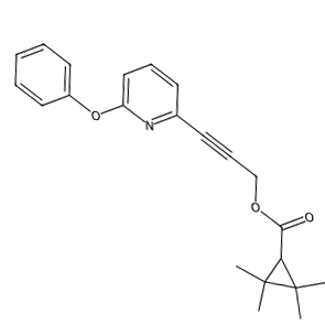 CC1(C)C(C(=O)OCC#Cc2cccc(Oc3ccccc3)n2)C1(C)C